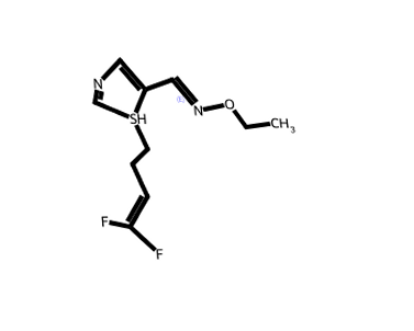 CCO/N=C/C1=CN=C[SH]1CCC=C(F)F